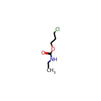 CCNC(=O)OCCCCl